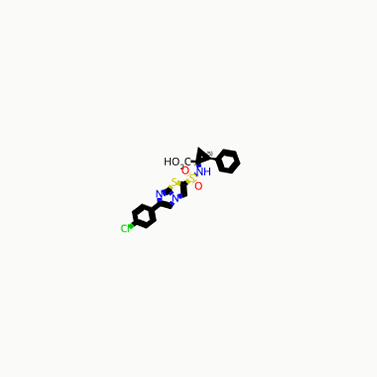 O=C(O)[C@@]1(NS(=O)(=O)c2cn3cc(-c4ccc(Cl)cc4)nc3s2)C[C@H]1c1ccccc1